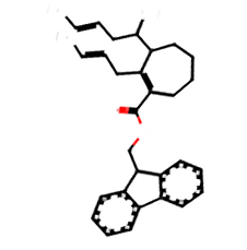 CC=CCC1=C(C(=O)OCC2c3ccccc3-c3ccccc32)CCCCC1C(C)CC=CC